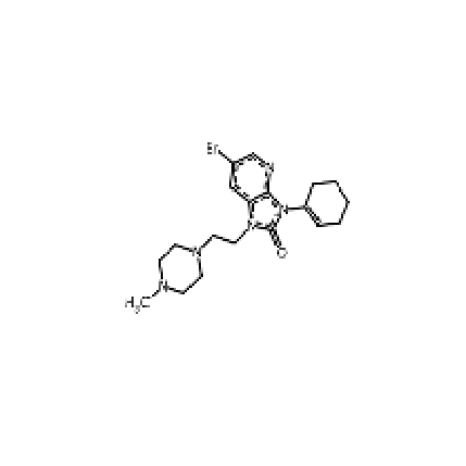 CN1CCN(CCn2c(=O)n(C3=CCCCC3)c3ncc(Br)cc32)CC1